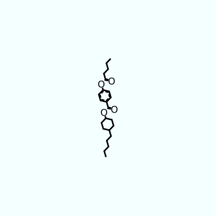 CCCCCC1CCC(OC(=O)c2ccc(OC(=O)CCCC)cc2)CC1